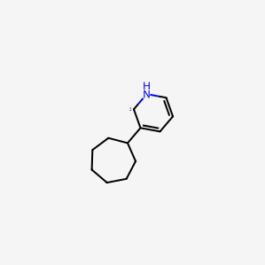 [C]1NC=CC=C1C1CCCCCC1